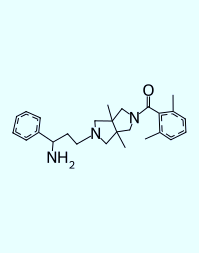 Cc1cccc(C)c1C(=O)N1CC2(C)CN(CCC(N)c3ccccc3)CC2(C)C1